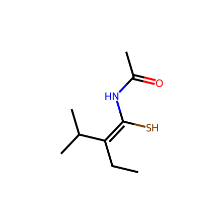 CCC(=C(S)NC(C)=O)C(C)C